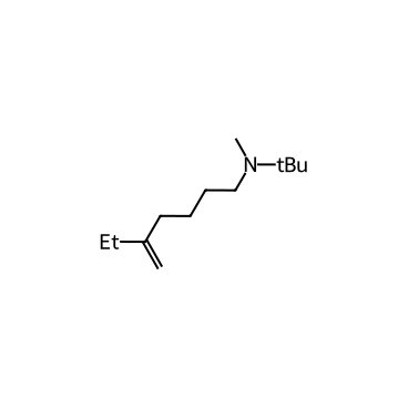 C=C(CC)CCCCN(C)C(C)(C)C